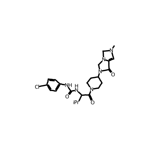 CC(C)C(NC(=O)Nc1ccc(Cl)cc1)C(=O)N1CCC(N2CN3CN(C)C=C3C2=O)CC1